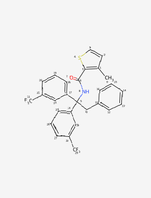 Cc1ccsc1C(=O)NC(Cc1ccccc1)(c1cccc(C(F)(F)F)c1)c1cccc(C(F)(F)F)c1